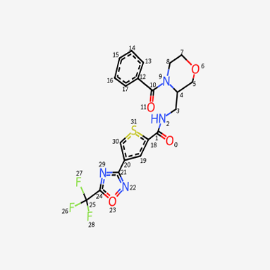 O=C(NCC1COCCN1C(=O)c1ccccc1)c1cc(-c2noc(C(F)(F)F)n2)cs1